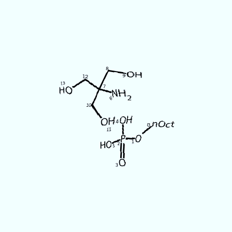 CCCCCCCCOP(=O)(O)O.NC(CO)(CO)CO